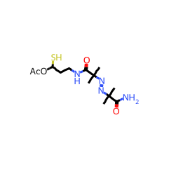 CC(=O)OC(S)CCNC(=O)C(C)(C)N=NC(C)(C)C(N)=O